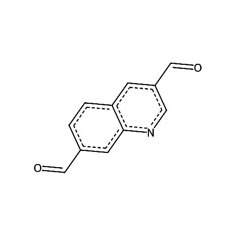 O=Cc1cnc2cc(C=O)ccc2c1